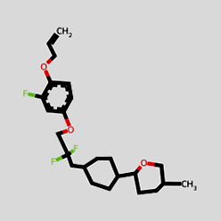 C=CCOc1ccc(OCC(F)(F)CC2CCC(C3CCC(C)CO3)CC2)cc1F